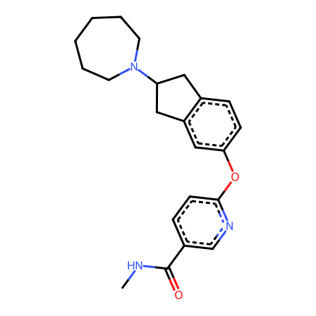 CNC(=O)c1ccc(Oc2ccc3c(c2)CC(N2CCCCCC2)C3)nc1